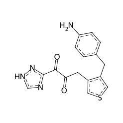 Nc1ccc(Cc2cscc2CC(=O)C(=O)c2nc[nH]n2)cc1